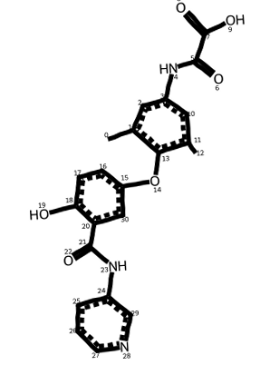 Cc1cc(NC(=O)C(=O)O)cc(C)c1Oc1ccc(O)c(C(=O)Nc2cccnc2)c1